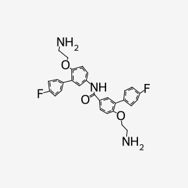 NCCOc1ccc(NC(=O)c2ccc(OCCN)c(-c3ccc(F)cc3)c2)cc1-c1ccc(F)cc1